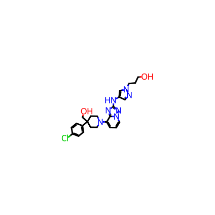 OCCCn1cc(Nc2nc3c(N4CCC(CO)(c5ccc(Cl)cc5)CC4)cccn3n2)cn1